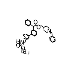 CC(C)(C)OC(=O)NCc1cc(-c2cccc(C(C(=O)OCC3CCN(Cc4ccccc4)CC3)c3ccccc3)c2)cs1